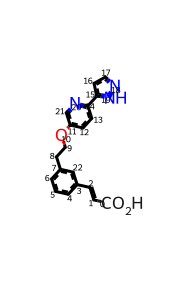 O=C(O)/C=C/c1cccc(CCOc2ccc(-c3ccn[nH]3)nc2)c1